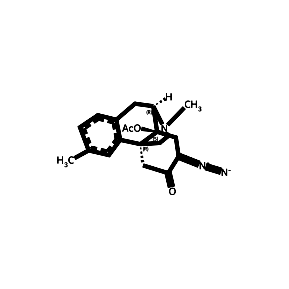 CC(=O)O[C@@]12CC(=[N+]=[N-])C(=O)C[C@@]13CCN(C)[C@@H]2Cc1ccc(C)cc13